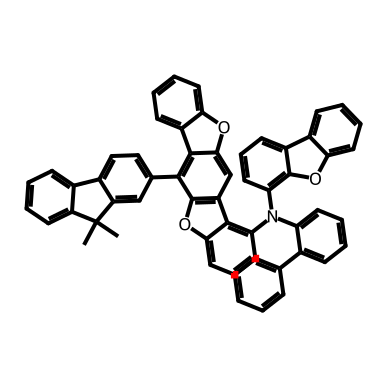 CC1(C)c2ccccc2-c2ccc(-c3c4oc5cccc(N(c6ccccc6-c6ccccc6)c6cccc7c6oc6ccccc67)c5c4cc4oc5ccccc5c34)cc21